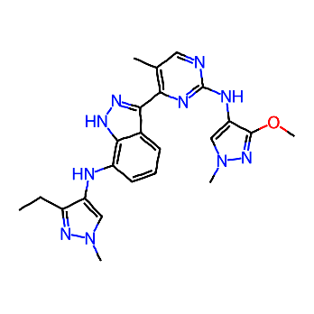 CCc1nn(C)cc1Nc1cccc2c(-c3nc(Nc4cn(C)nc4OC)ncc3C)n[nH]c12